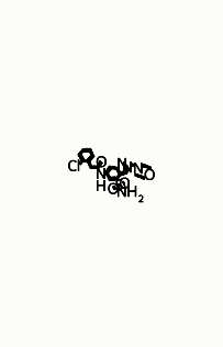 NS(=O)(=O)c1cc(NC(=O)Cc2ccccc2Cl)cc2nn(CN3CCOCC3)cc12